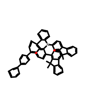 CC1(C)c2ccccc2-c2ccc(N(c3ccccc3-c3ccc(-c4ccc(-c5ccccc5)cc4)cc3)c3ccccc3-c3cccc4c3C(C)(C)c3ccccc3-4)cc21